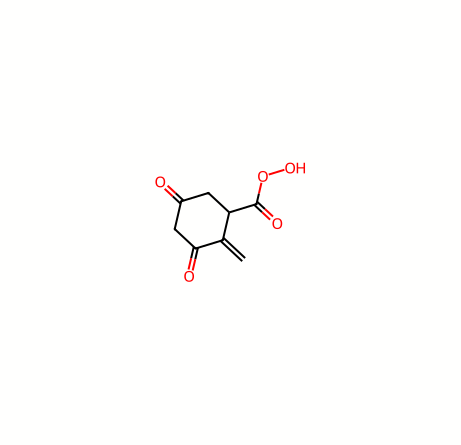 C=C1C(=O)CC(=O)CC1C(=O)OO